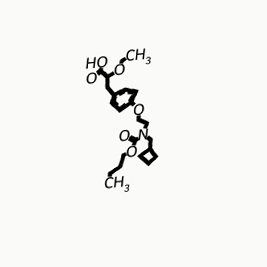 CCCCOC(=O)N(CCOc1ccc(CC(OCC)C(=O)O)cc1)CC1CCC1